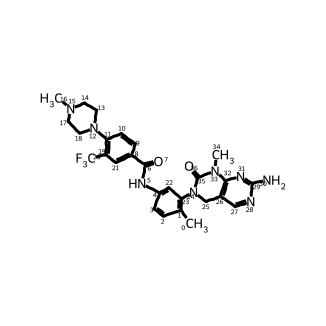 Cc1ccc(NC(=O)c2ccc(N3CCN(C)CC3)c(C(F)(F)F)c2)cc1N1Cc2cnc(N)nc2N(C)C1=O